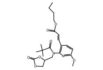 CCCCOC(=O)/C=C/c1ccc(OC)nc1N(CC1COC(=O)O1)C(=O)C(C)(C)C